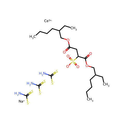 CCCCC(CC)COC(=O)CC(C(=O)OCC(CC)CCCC)S(=O)(=O)[O-].NC(=S)[S-].NC(=S)[S-].NC(=S)[S-].[Ce+3].[Na+]